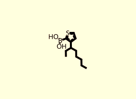 CCCCCC(CC)c1ccsc1B(O)O